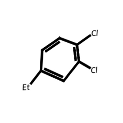 CCc1c[c]c(Cl)c(Cl)c1